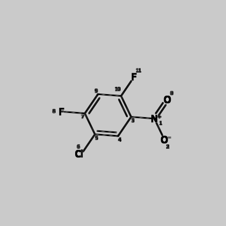 O=[N+]([O-])c1cc(Cl)c(F)cc1F